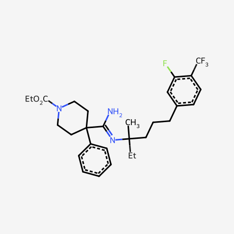 CCOC(=O)N1CCC(/C(N)=N/C(C)(CC)CCCc2ccc(C(F)(F)F)c(F)c2)(c2ccccc2)CC1